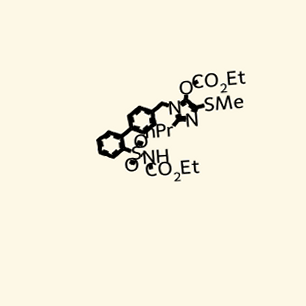 CCCc1nc(SC)c(OC(=O)OCC)n1Cc1ccc(-c2ccccc2S(=O)(=O)NC(=O)OCC)cc1